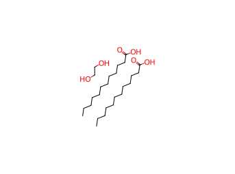 CCCCCCCCCCCC(=O)O.CCCCCCCCCCCC(=O)O.OCCO